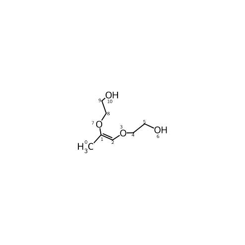 CC(=COCCO)OCCO